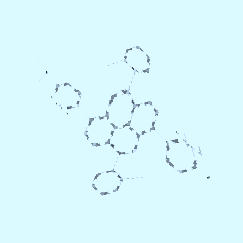 Cc1ccccc1-c1cc2c(-c3ccc(C(C)(C)C)nn3)ccc3c(-c4ccccc4C)cc4c(-c5ccc(C(C)(C)C)nn5)ccc1c4c23